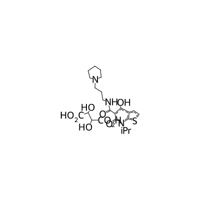 CC(C)n1c(=O)c(C(=O)NCCCN2CCCCC2)c(O)c2ccsc21.O=C(O)C(O)C(O)C(=O)O